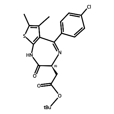 Cc1sc2c(c1C)C(c1ccc(Cl)cc1)=N[C@@H](CC(=O)OC(C)(C)C)C(=O)N2